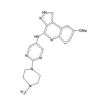 COc1ccc2nc(Nc3cnc(N4CCN(C)CC4)nc3)c3n[nH]cc3c2c1